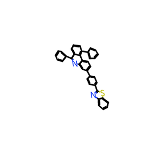 c1ccc(-c2nc3cc(-c4ccc(-c5nc6ccccc6s5)cc4)ccc3c3c(-c4ccccc4)cccc23)cc1